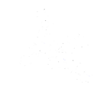 c1ccc(-c2ccc(N(c3ccc4c(c3)sc3ccccc34)c3cccc4c3sc3cccc(N(c5ccc(-c6cccnc6)cc5)c5ccc6oc7ccccc7c6c5)c34)cc2)cc1